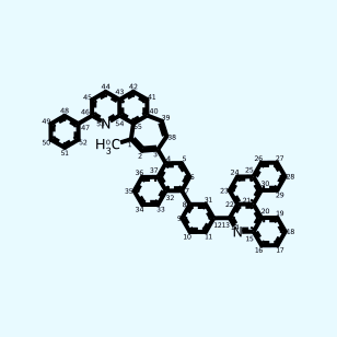 CC1=C=C(c2ccc(-c3cccc(-c4nc5ccccc5c5c4ccc4ccccc45)c3)c3ccccc23)C=Cc2ccc3ccc(-c4ccccc4)nc3c21